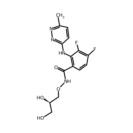 Cc1ccc(Nc2c(C(=O)NOC[C@H](O)CO)ccc(F)c2F)nn1